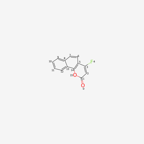 O=c1cc(F)c2ccc3ccccc3c2o1